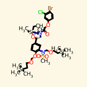 CC[Si](CC)(CC)O[C@H](CNC(=O)COc1ccc(Br)c(Cl)c1)c1ccc(OCOCC[Si](C)(C)C)c(N(COCC[Si](C)(C)C)S(C)(=O)=O)c1